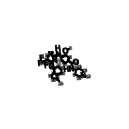 COc1cc(C(=O)NC2CCN(C)CC2)ccc1Nc1ncc(C(F)(F)F)c(Oc2cccc3c2CCC3C)n1